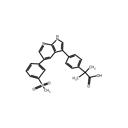 CC(C)(C(=O)O)c1ccc(-c2c[nH]c3ncc(-c4cccc(S(C)(=O)=O)c4)cc23)cc1